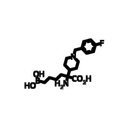 NC(CCCCB(O)O)(C(=O)O)C1CCN(Cc2ccc(F)cc2)CC1